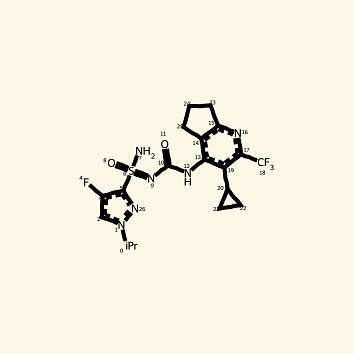 CC(C)n1cc(F)c(S(N)(=O)=NC(=O)Nc2c3c(nc(C(F)(F)F)c2C2CC2)CCC3)n1